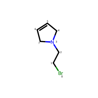 BrCCN1CC=CC1